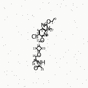 CCOc1nc2cc(Cl)c(OC[C@H]3C[C@H](OC[C@H](C)NC(C)=O)C3)nc2n1C